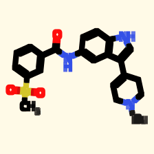 CCC(C)N1CC=C(c2c[nH]c3ccc(NC(=O)c4cccc(S(C)(=O)=O)c4)cc23)CC1